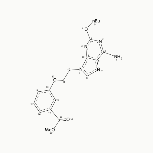 CCCCOc1nc(N)c2ncn(CCOc3cccc(C(=O)OC)c3)c2n1